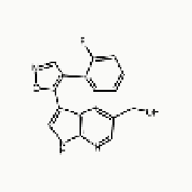 OCc1cnc2[nH]cc(-c3oncc3-c3ccccc3F)c2c1